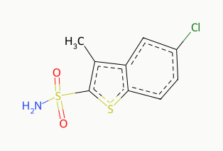 Cc1c(S(N)(=O)=O)sc2ccc(Cl)cc12